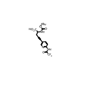 CC(C)(C)OC(=O)NC(CC#Cc1ccc(NC(=O)C(F)(F)F)nc1)C(=O)O